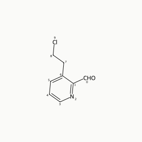 O=Cc1ncccc1CCCl